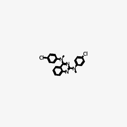 CN(c1ccc(Cl)cc1)c1nc(N(C)c2ccc(Cl)cc2)c2ccccc2n1